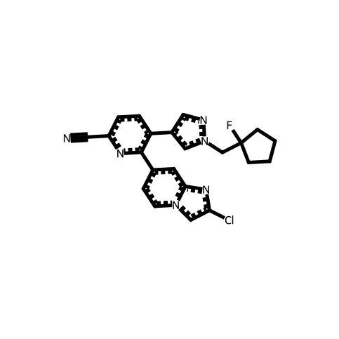 N#Cc1ccc(-c2cnn(CC3(F)CCCC3)c2)c(-c2ccn3cc(Cl)nc3c2)n1